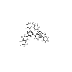 C1=CC2Oc3ccc(-c4ccc5c(c4)oc4ccccc45)cc3C2C(c2nc(-c3ccccc3)nc(-c3ccc4ccccc4c3)n2)=C1